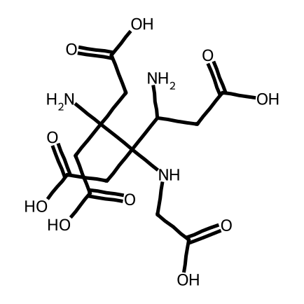 NC(CC(=O)O)C(CC(=O)O)(NCC(=O)O)C(N)(CC(=O)O)CC(=O)O